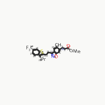 COC(=O)/C=C/c1cc2onc(CCc3sc4cc(C(F)(F)F)ccc4c3C(C)C)c2cc1C